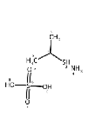 CC(C)S.N.O=S(=O)(O)O